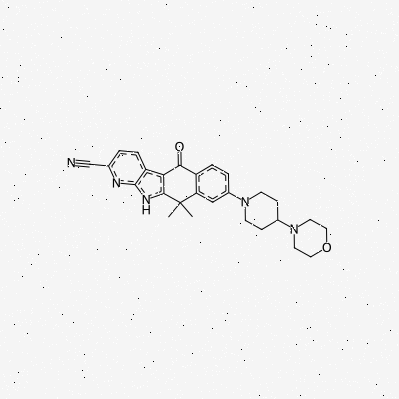 CC1(C)c2cc(N3CCC(N4CCOCC4)CC3)ccc2C(=O)c2c1[nH]c1nc(C#N)ccc21